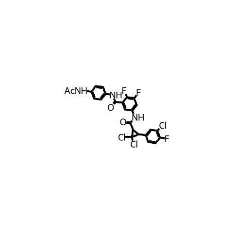 CC(=O)Nc1ccc(NC(=O)c2cc(NC(=O)C3C(c4ccc(F)c(Cl)c4)C3(Cl)Cl)cc(F)c2F)cc1